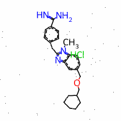 Cl.Cn1c(Cc2ccc(C(=N)N)cc2)nc2cc(COCC3CCCCC3)ccc21